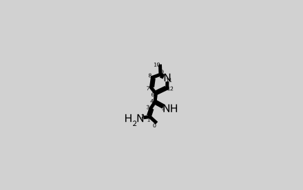 C/C(N)=C\C(=N)c1ccc(C)nc1